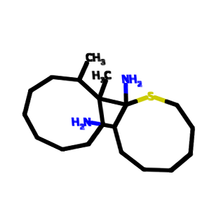 CC1CCCCCCCC1(C)C1(N)SCCCCCCC1N